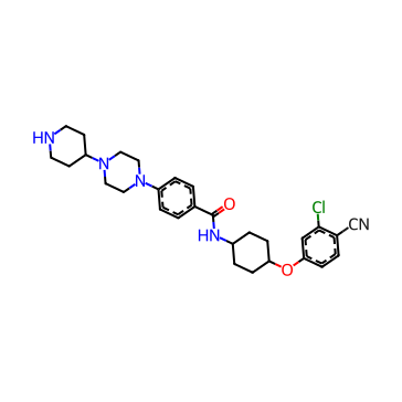 N#Cc1ccc(OC2CCC(NC(=O)c3ccc(N4CCN(C5CCNCC5)CC4)cc3)CC2)cc1Cl